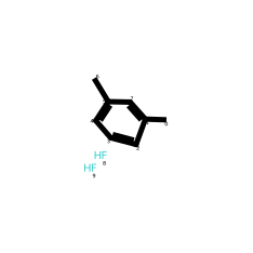 Cc1cccc(C)c1.F.F